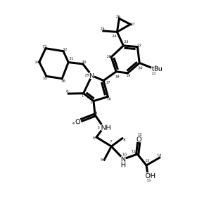 Cc1c(C(=O)NCC(C)(C)NC(=O)C(C)O)cc(-c2cc(C(C)(C)C)cc(C3(C)CC3)c2)n1CC1CCCCC1